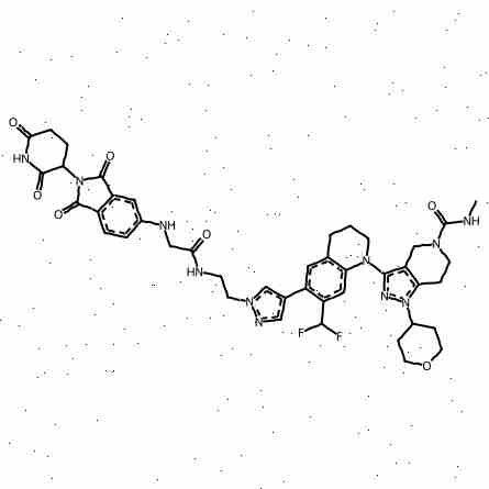 CNC(=O)N1CCc2c(c(N3CCCc4cc(-c5cnn(CCNC(=O)CNc6ccc7c(c6)C(=O)N(C6CCC(=O)NC6=O)C7=O)c5)c(C(F)F)cc43)nn2C2CCOCC2)C1